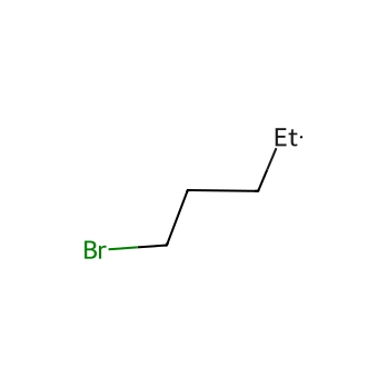 C[CH]CCCBr